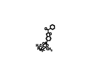 CC1(C)OB(c2ccc3oc(C(=O)c4ccccc4)cc3c2)OC1(C)C